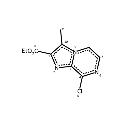 CCOC(=O)c1nc2c(Cl)nccn2c1C